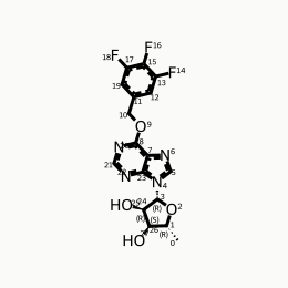 C[C@H]1O[C@@H](n2cnc3c(OCc4cc(F)c(F)c(F)c4)ncnc32)[C@H](O)[C@@H]1O